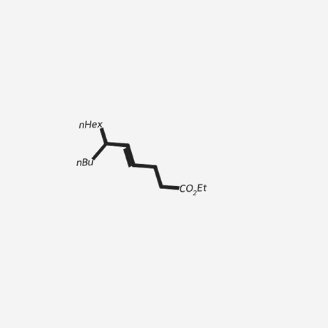 CCCCCCC(C=CCCC(=O)OCC)CCCC